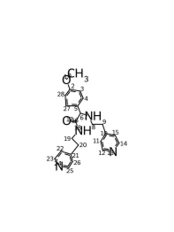 COc1ccc(C(NCCc2ccncc2)C(=O)NCCc2ccncc2)cc1